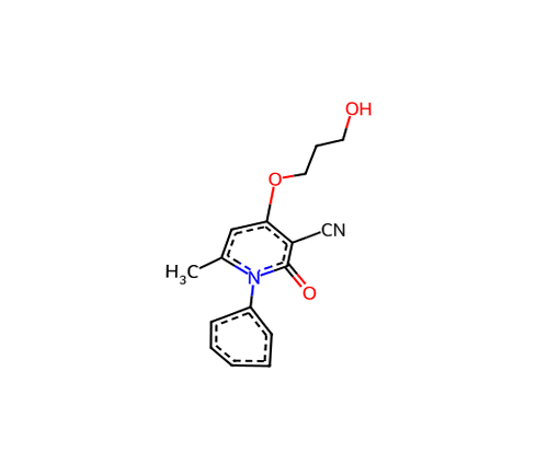 Cc1cc(OCCCO)c(C#N)c(=O)n1-c1ccccc1